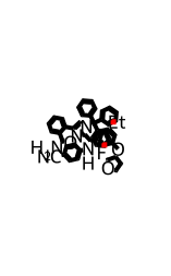 CCc1cc(OC2CCOC2)c(F)c(C(Nc2ccc(C#N)cc2)c2nc(-c3ccccc3C(N)=O)cn2C(c2ccccc2)(c2ccccc2)c2ccccc2)c1